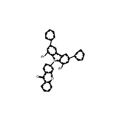 CC(C)c1cc(-c2ccccc2)cc2c3cc(-c4ccccc4)cc(C(C)C)c3n(-c3ccc4c(=O)c5ccccc5oc4c3)c12